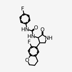 O=C(Nc1ccc(F)cc1)NC1C(=O)NCC1c1cc2c(cc1F)OCCC2